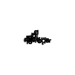 CC/C(=N\Oc1ccc(Br)cc1)c1cc(Cl)ccc1NS(=O)(=O)C(F)(F)F